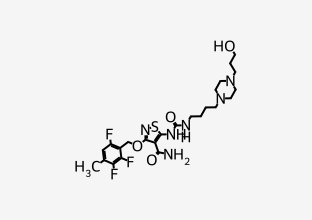 Cc1cc(F)c(COc2nsc(NC(=O)NCCCCN3CCN(CCCO)CC3)c2C(N)=O)c(F)c1F